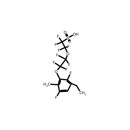 CCc1cc(F)c(C)c(OC(F)(F)C(F)(F)OC(F)(F)C(F)(F)S(=O)(=O)O)c1F